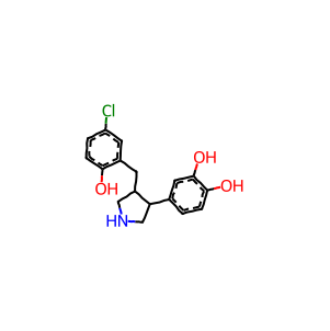 Oc1ccc(C2CNCC2Cc2cc(Cl)ccc2O)cc1O